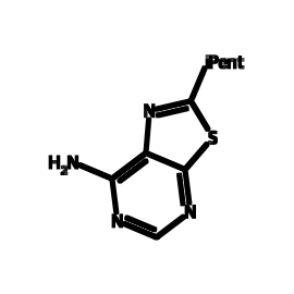 CCCC(C)c1nc2c(N)ncnc2s1